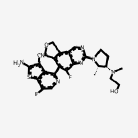 C[C@H]1[C@@H](N(C)CCO)CCN1c1ncc2c3c(c(-c4ncc(F)c5sc(N)c(C#N)c45)c(F)c2n1)COC3